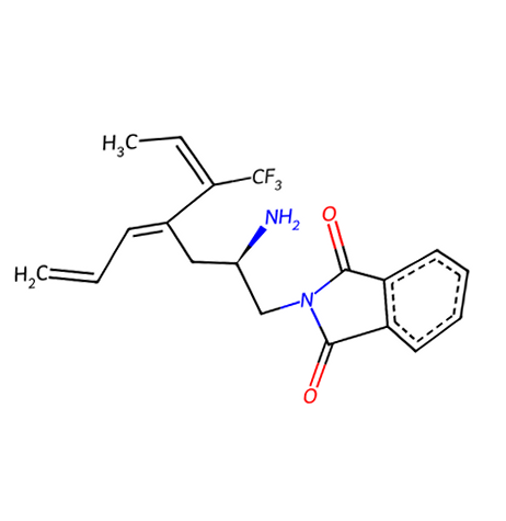 C=C/C=C(C[C@@H](N)CN1C(=O)c2ccccc2C1=O)/C(=C\C)C(F)(F)F